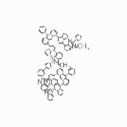 CCn1c(-c2ccccc2)nc2c(-c3ccc(-c4cccc5c(-c6ccccc6)c6cccc(-c7ccc(-c8cccc9c8nc(-c8ccc(-c%10cccc(-c%11nc%12ccccc%12n%11-c%11ccc(-c%12cccc%13c(-c%14ccccc%14)c%14cccc(-c%15ccc(-n%16c(-c%17ccccc%17)nc%17ccccc%17%16)c%16ccccc%15%16)c%14cc%12%13)c%12ccccc%11%12)c%10)cc8)n9CC)c8ccccc78)c6cc45)c4ccccc34)cccc21